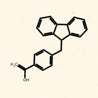 C=C(O)c1ccc(CC2c3ccccc3-c3ccccc32)cc1